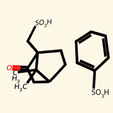 CC1(C)C2CCC1(CS(=O)(=O)O)C(=O)C2.O=S(=O)(O)c1ccccc1